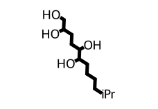 CC(C)CCCCC(O)C(O)CCC(O)CO